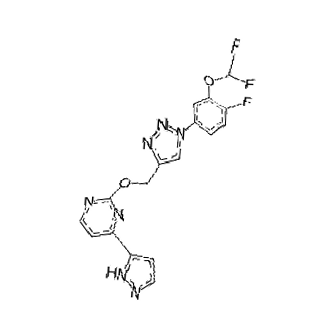 Fc1ccc(-n2cc(COc3nccc(-c4ccn[nH]4)n3)nn2)cc1OC(F)F